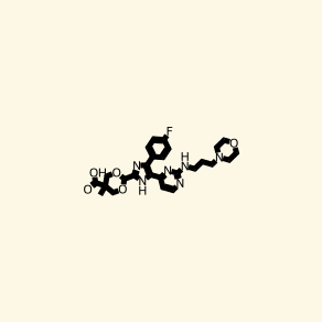 CC1(C(=O)O)COC(c2nc(-c3ccc(F)cc3)c(-c3ccnc(NCCCN4CCOCC4)n3)[nH]2)OC1